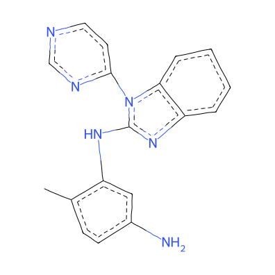 Cc1ccc(N)cc1Nc1nc2ccccc2n1-c1ccncn1